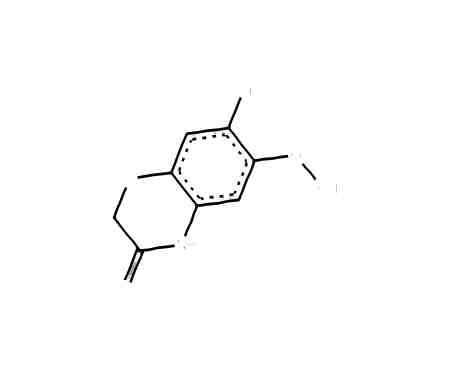 COc1cc2c(cc1Br)OCC(=S)N2